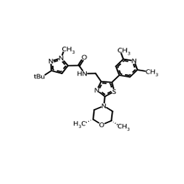 Cc1cc(-c2sc(N3C[C@@H](C)O[C@@H](C)C3)nc2CNC(=O)c2cc(C(C)(C)C)nn2C)cc(C)n1